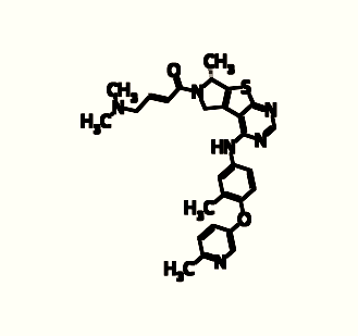 Cc1ccc(Oc2ccc(Nc3ncnc4sc5c(c34)CN(C(=O)C=CCN(C)C)[C@@H]5C)cc2C)cn1